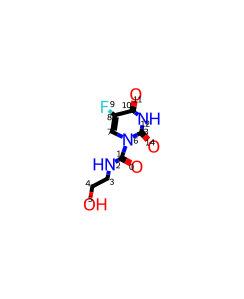 O=C(NCCO)n1cc(F)c(=O)[nH]c1=O